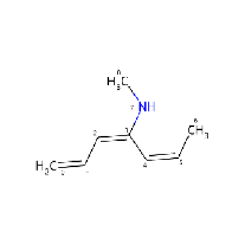 C=C/C=C(\C=C/C)NC